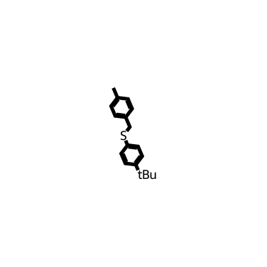 Cc1ccc(CSc2ccc(C(C)(C)C)cc2)cc1